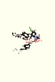 COc1cccc([C@H]2O[C@H](CC(=O)c3ccc(CCC(=O)O)cc3)C(=O)N(CC(C)(C)CO)c3ccc(Cl)cc32)c1OC